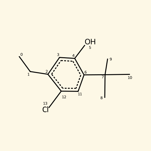 CCc1cc(O)c(C(C)(C)C)cc1Cl